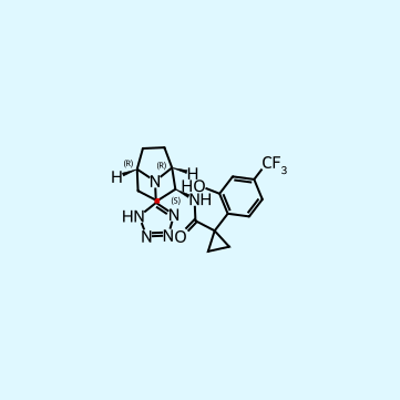 O=C(N[C@H]1CC[C@@H]2CC[C@H]1N2c1nnn[nH]1)C1(c2ccc(C(F)(F)F)cc2O)CC1